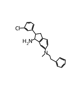 CN(CCc1ccccc1)c1ccc2c(c1)C(N)C(c1cccc(Cl)c1)C2